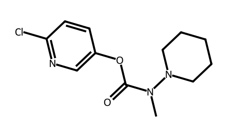 CN(C(=O)Oc1ccc(Cl)nc1)N1CCCCC1